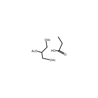 CC(=O)OCC(COC(C)=O)OC(C)=O.CCC(=O)O